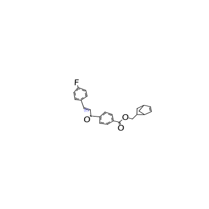 O=C(/C=C/c1ccc(F)cc1)c1ccc(C(=O)OCC2CC3C=CC2C3)cc1